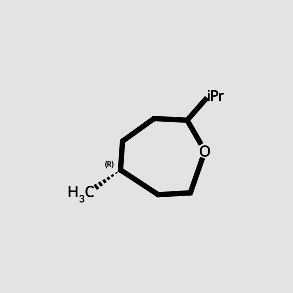 CC(C)C1CC[C@@H](C)CCO1